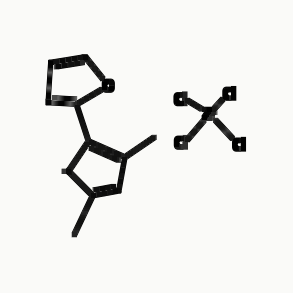 CC1=CC(C)=C(c2ccco2)[CH]1.[Cl][Zr]([Cl])([Cl])[Cl]